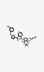 CC1(C)O[C@@H]2[C@@H](CN=[N+]=[N-])C[C@@H](Nc3ncncc3C(=O)c3ccn(Cc4cccc(Cl)c4)n3)[C@@H]2O1